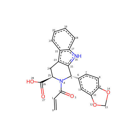 C=CC(=O)N1[C@@H](c2ccc3c(c2)OCO3)c2[nH]c3ccccc3c2C[C@@H]1C(=O)O